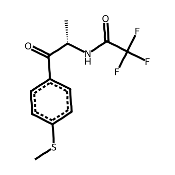 CSc1ccc(C(=O)[C@H](C)NC(=O)C(F)(F)F)cc1